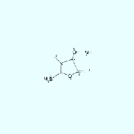 BC1OC(=C)C(OS)C1C